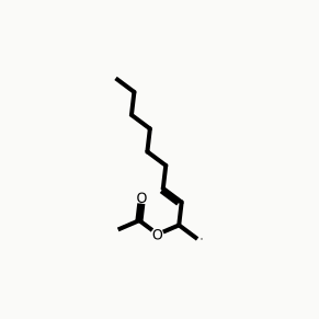 [CH2]C(C=CCCCCCC)OC(C)=O